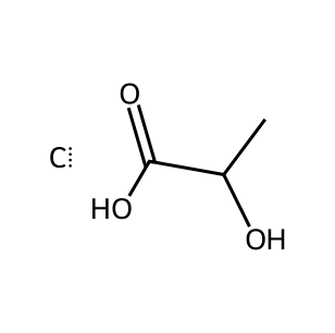 CC(O)C(=O)O.[C]